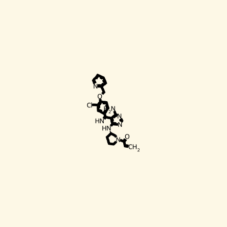 C=CC(=O)N1CCC[C@H](Nc2ncnc(N)c2C(=N)c2ccc(OCc3ccccn3)c(Cl)c2)C1